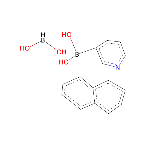 OB(O)c1cccnc1.OBO.c1ccc2ccccc2c1